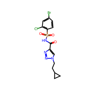 O=C(NS(=O)(=O)c1ccc(Br)cc1Cl)c1cn(CCC2CC2)nn1